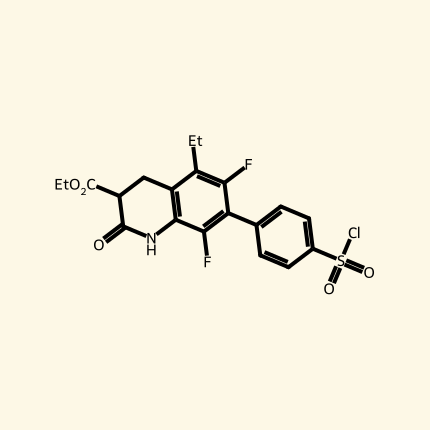 CCOC(=O)C1Cc2c(CC)c(F)c(-c3ccc(S(=O)(=O)Cl)cc3)c(F)c2NC1=O